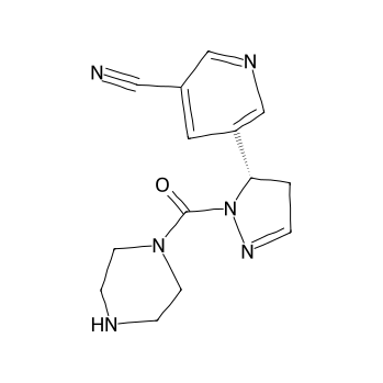 N#Cc1cncc([C@@H]2CC=NN2C(=O)N2CCNCC2)c1